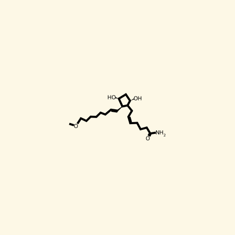 COCCCCCC/C=C/[C@@H]1C(C/C=C\CCCC(N)=O)[C@@H](O)C[C@H]1O